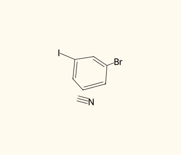 Brc1cccc(I)c1.C#N